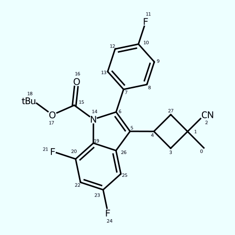 CC1(C#N)CC(c2c(-c3ccc(F)cc3)n(C(=O)OC(C)(C)C)c3c(F)cc(F)cc23)C1